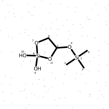 C[Si](C)(C)OC1CO[Si](O)(O)O1